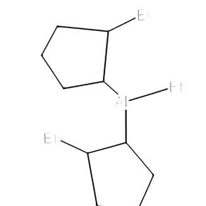 [CH2][CH2][Al]([CH]1CCCC1CC)[CH]1CCCC1CC